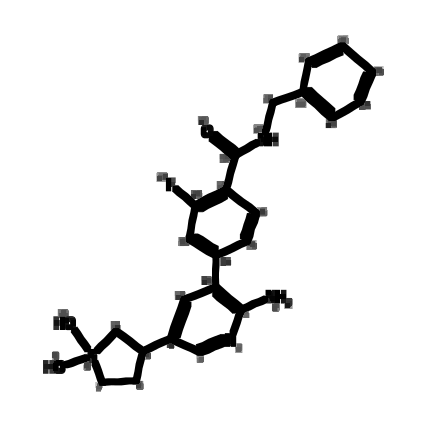 Nc1ncc(C2CCS(O)(O)C2)cc1-c1ccc(C(=O)NCc2ccccc2)c(F)c1